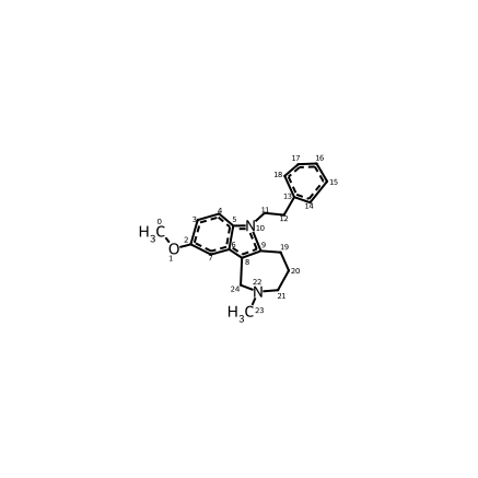 COc1ccc2c(c1)c1c(n2CCc2ccccc2)CCCN(C)C1